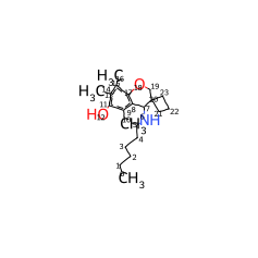 CCCCCCNC1c2c(C)c(O)c(C)c(C)c2OCC12CCC2